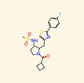 CS(=O)(=O)NC1CCN(C(=O)C2CCC2)C1Cc1csc(-c2ccc(F)cc2)n1